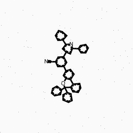 N#Cc1cc(-c2cc(-c3ccccc3)nc(-c3ccccc3)c2)cc(-c2ccc3c(c2)OC(c2ccccc2)(c2ccccc2)c2ccccc2-3)c1